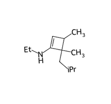 CCNC1=CC(C)C1(C)CC(C)C